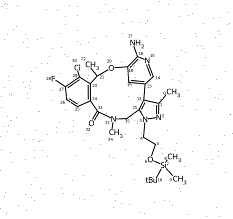 Cc1nn(CCO[Si](C)(C)C(C)(C)C)c2c1-c1cnc(N)c(c1)OC(C)c1c(ccc(F)c1Cl)C(=O)N(C)C2